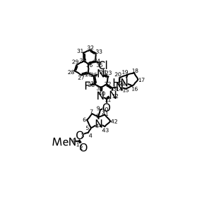 CNC(=O)OCC1CCC2(COc3nc(N4CC5CCC(C4)N5)c4cnc(-c5cccc6cccc(Cl)c56)c(F)c4n3)CCCN12